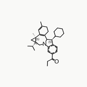 CCC(=O)c1ccc2c(c1)N1C[C@@]3(C(C)C)C[C@@]3(C)C3=C(CCC(C)=C3)C1[C@H]2C1CCCCC1